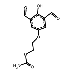 NC(=O)OCCOc1cc(C=O)c(O)c(C=O)c1